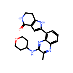 Cc1nc2cccc(-c3cc4c([nH]3)CCNC4=O)c2nc1NC1CCOCC1